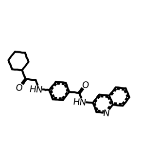 O=C(Nc1cnc2ccccc2c1)c1ccc(NCC(=O)C2CCCCC2)cc1